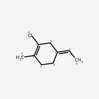 CC=C1CCC(C)=C(Cl)C1